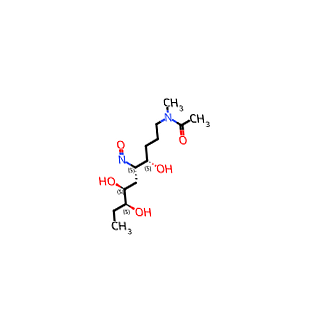 CC[C@H](O)[C@@H](O)C[C@H](N=O)[C@@H](O)CCCN(C)C(C)=O